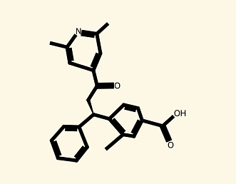 Cc1cc(C(=O)C[C@H](c2ccccc2)c2ccc(C(=O)O)cc2C)cc(C)n1